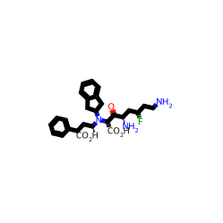 NCCC(F)C[C@H](N)C(=O)C(C(=O)O)N(C1Cc2ccccc2C1)[C@@H](CCc1ccccc1)C(=O)O